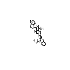 N[C@@H]1c2ccccc2CC12CN(c1cnc3c(N4CCCc5ncccc54)n[nH]c3n1)C2